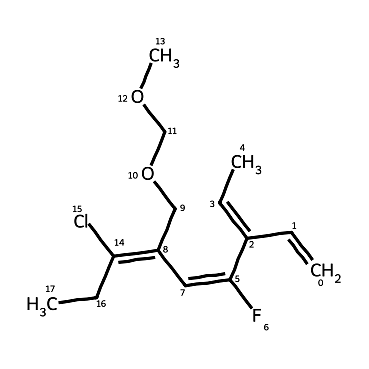 C=CC(=C\C)/C(F)=C\C(COCOC)=C(\Cl)CC